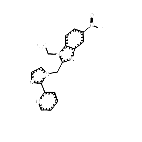 CCn1c(Cn2ccnc2-c2ccccn2)nc2cc([N+](=O)[O-])ccc21